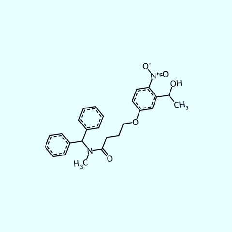 CC(O)c1cc(OCCCC(=O)N(C)C(c2ccccc2)c2ccccc2)ccc1[N+](=O)[O-]